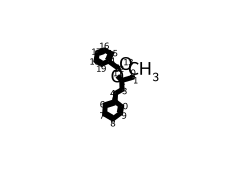 CCC(CCc1ccccc1)OC(=O)c1ccccc1